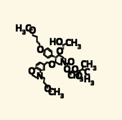 COCCCCOc1ccc([C@@H]2[C@@H](OCc3ccc4c(c3)N(CCCOC)CCO4)CN(C(=O)OC(C)OC(=O)C(C)C)C[C@H]2OCC(C)O)cc1